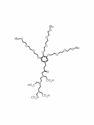 CC(C)(C)OCCOCCOCCOc1cc(CCC(=O)CN(CCN(CCN(CC(=O)O)CC(=O)O)CC(=O)O)CC(=O)O)cc(OCCOCCOCCOC(C)(C)C)c1OCCOCCOCCOC(C)(C)C